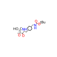 CC(C)(C)OC(=O)NCc1ccc(C[C@H](NC(=O)O)C(=O)[C@@]2(C)CO2)cc1